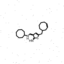 N=C1SC(CC2C/C=C\CCCC2)=C/C1=C/NC1CCCCCCC1